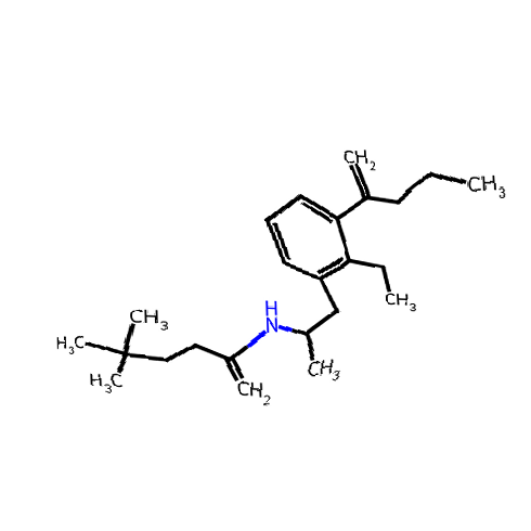 C=C(CCC(C)(C)C)NC(C)Cc1cccc(C(=C)CCC)c1CC